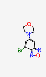 Brc1cc(N2CCOCC2)cc2nonc12